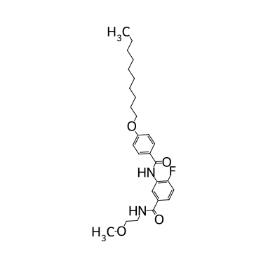 CCCCCCCCCCOc1ccc(C(=O)Nc2cc(C(=O)NCCOC)ccc2F)cc1